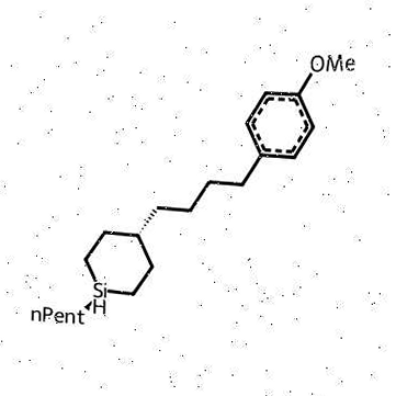 CCCCC[Si@H]1CC[C@H](CCCCc2ccc(OC)cc2)CC1